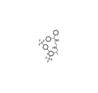 CC(CNCCNC(c1ccccc1)c1ccccc1)c1cc(-c2ccc(C(F)(F)F)cc2)nc(C(F)(F)F)c1